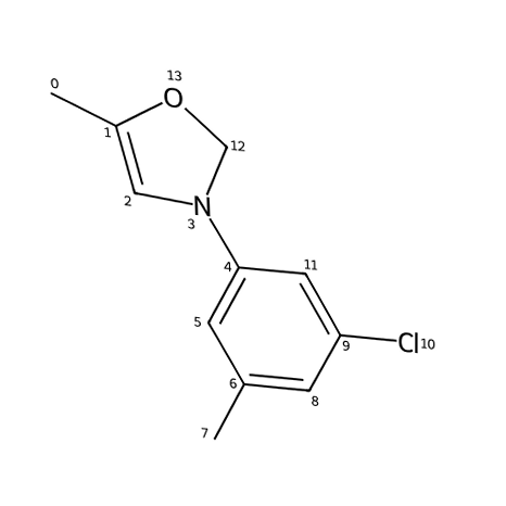 CC1=CN(c2cc(C)cc(Cl)c2)CO1